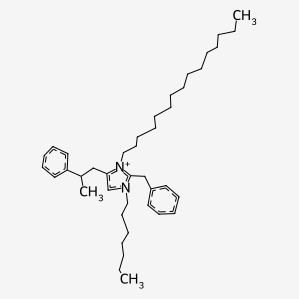 CCCCCCCCCCCCCCC[n+]1c(CC(C)c2ccccc2)cn(CCCCCCC)c1Cc1ccccc1